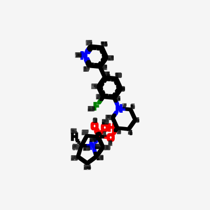 O=C(OC1CCCN(c2ccc(-c3cccnc3)cc2F)C1)N1C2CC[C@H]1CC(O)C2